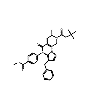 COC(=O)c1ccc(-n2c(=O)c3c(n4ncc(Cc5ccccc5)c24)CN(C(=O)OC(C)(C)C)C(C)C3)nc1